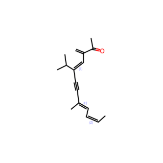 C=C(/C=C(/C#C/C(C)=C/C=C\C)C(C)C)C(C)=O